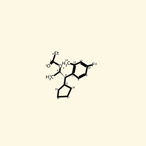 CCC(=O)OC(C)[C@H](c1ccc(F)cc1C)C1CCCC1